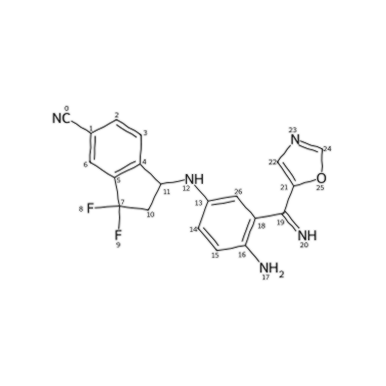 N#Cc1ccc2c(c1)C(F)(F)CC2Nc1ccc(N)c(C(=N)c2cnco2)c1